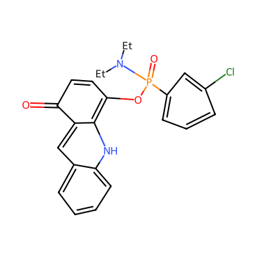 CCN(CC)P(=O)(Oc1ccc(=O)c2cc3ccccc3[nH]c1-2)c1cccc(Cl)c1